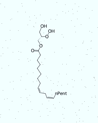 CCCCC/C=C\C/C=C\CCCCCCCC(=O)OC[C@H](CO)OO